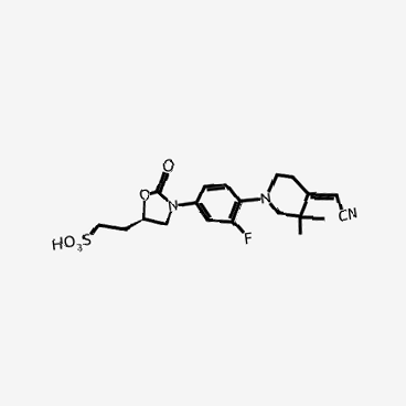 CC1(C)CN(c2ccc(N3C[C@@H](CCS(=O)(=O)O)OC3=O)cc2F)CC/C1=C/C#N